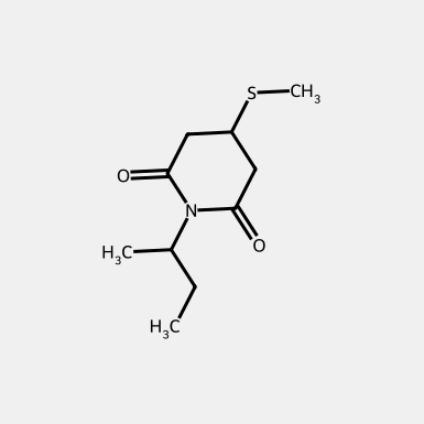 CCC(C)N1C(=O)CC(SC)CC1=O